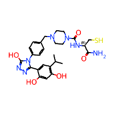 CC(C)c1cc(-c2nnc(O)n2-c2ccc(CN3CCN(C(=O)N[C@@H](CS)C(N)=O)CC3)cc2)c(O)cc1O